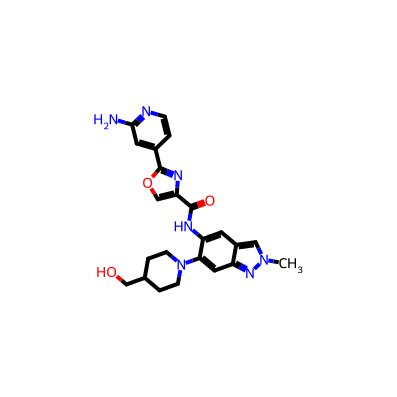 Cn1cc2cc(NC(=O)c3coc(-c4ccnc(N)c4)n3)c(N3CCC(CO)CC3)cc2n1